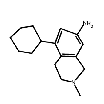 CN1CCc2c(cc(N)cc2C2CCCCC2)C1